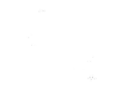 CCCCC1CCC(=O)C1CC#CCCCC(=O)OC